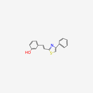 Oc1cccc(/C=C/c2nc(-c3ccccc3)cs2)c1